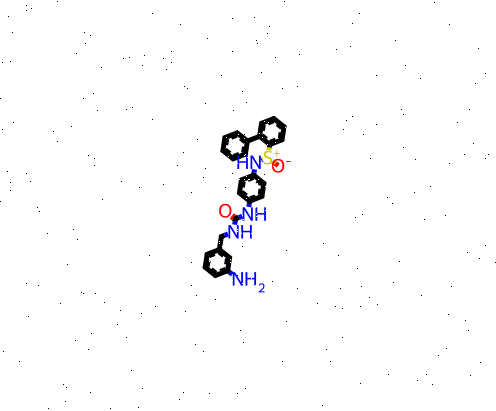 Nc1cccc(CNC(=O)Nc2ccc(N[S+]([O-])c3ccccc3-c3ccccc3)cc2)c1